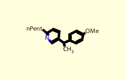 CCCCCc1ccc(C(C)c2ccc(OC)cc2)cn1